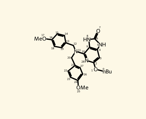 CCCCOc1cc2[nH]c(=O)[nH]c2c(N(Cc2ccc(OC)cc2)Cc2ccc(OC)cc2)n1